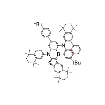 CC(C)(C)c1ccc(-c2cc3c4c(c2)N(c2ccc5c(c2)C(C)(C)CCC5(C)C)c2sc5cc6c(cc5c2B4c2cc(C(C)(C)C)ccc2N3c2cc3c(cc2-c2ccccc2)C(C)(C)CCC3(C)C)C(C)(C)CCC6(C)C)cc1